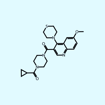 COc1ccc2ncc(C(=O)N3CCN(C(=O)C4CC4)CC3)c(N3CCSCC3)c2c1